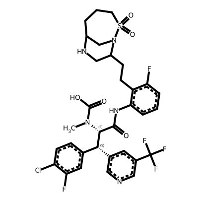 CN(C(=O)O)[C@H](C(=O)Nc1cccc(F)c1CCC1CNC2CCCS(=O)(=O)N1C2)[C@H](c1cncc(C(F)(F)F)c1)c1ccc(Cl)c(F)c1